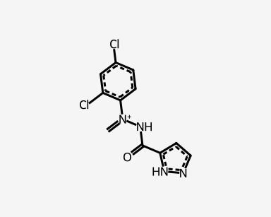 C=[N+](NC(=O)c1ccn[nH]1)c1ccc(Cl)cc1Cl